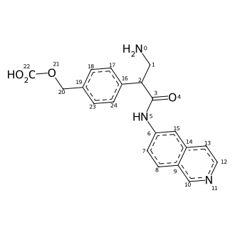 NCC(C(=O)Nc1ccc2cnccc2c1)c1ccc(COC(=O)O)cc1